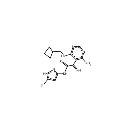 N=C(C(=O)Nc1cc(Br)[nH]n1)c1c(N)ncnc1NCC1CCC1